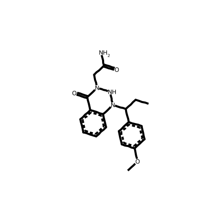 CCC(c1ccc(OC)cc1)N1NN(CC(N)=O)C(=O)c2ccccc21